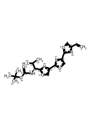 C=Cc1coc(-c2coc(-c3coc([C@@H](NC(=O)OC(C)(C)C)C(C)C)n3)n2)n1